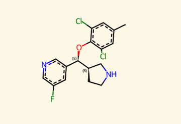 Cc1cc(Cl)c(O[C@H](c2cncc(F)c2)[C@@H]2CCNC2)c(Cl)c1